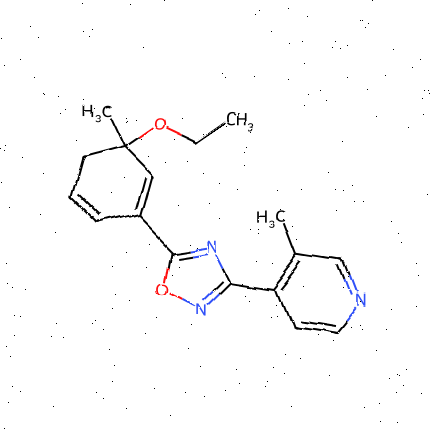 CCOC1(C)C=C(c2nc(-c3ccncc3C)no2)C=CC1